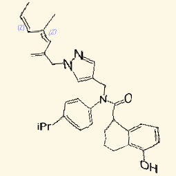 C=C(/C=C(C)\C=C/C)Cn1cc(CN(C(=O)C2CCCc3c(O)cccc32)c2ccc(C(C)C)cc2)cn1